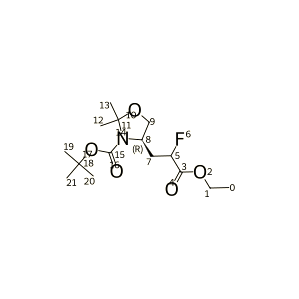 CCOC(=O)C(F)C[C@@H]1COC(C)(C)N1C(=O)OC(C)(C)C